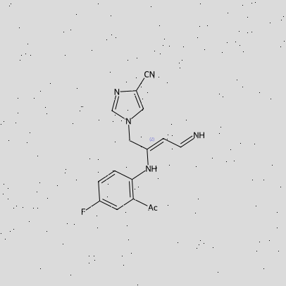 CC(=O)c1cc(F)ccc1N/C(=C\C=N)Cn1cnc(C#N)c1